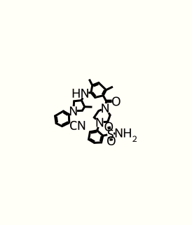 Cc1cc(C)c(C(=O)N2CCN(c3ccccc3S(N)(=O)=O)CC2)cc1NC1CN(c2ccccc2C#N)CC1C